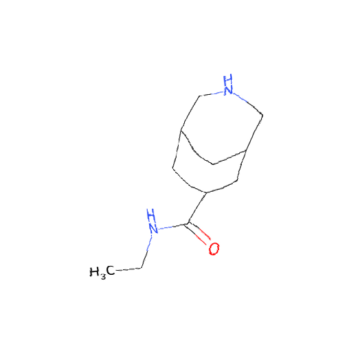 CCNC(=O)C1CC2CNCC(C2)C1